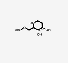 CCCCOCC1NCC[C@@H](O)[C@@H]1O